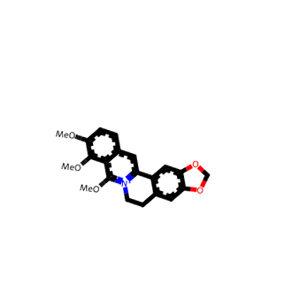 COc1ccc2cc3[n+](c(OC)c2c1OC)CCc1cc2c(cc1-3)OCO2